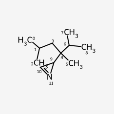 CC(C)CC(C)(C(C)C)C1C=N1